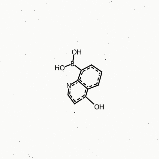 OB(O)c1cccc2c(O)ccnc12